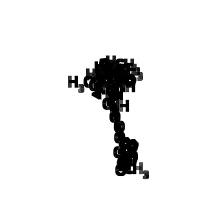 CCC[C@H](NC(=O)[C@@H]1[C@H]2CCC[C@H]2CN1C(=O)[C@@H](NC(=O)[C@@H](NC(=O)c1cnc(C(=O)NCCOCCOCCOc2cc3c4c(cccc4c2)C(=O)N(C2CCC(=O)N(C)C2=O)C3=O)cn1)C1CCCCC1)C(C)(C)C)C(=O)C(=O)NC1CC1